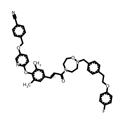 Cc1cc(/C=C/C(=O)N2CCON(Cc3ccc(CCOc4ccc(F)cc4)cc3)CC2)cc(C)c1Oc1ccc(OCc2ccc(C#N)cc2)cn1